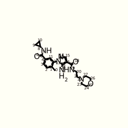 Cc1ccc(C(=O)NC2CC2)cc1-n1ncc(C(=O)NCCN2CCOCC2)c1N